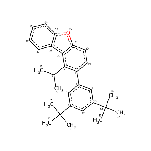 CC(C)c1c(-c2cc(C(C)(C)C)cc(C(C)(C)C)c2)ccc2oc3ccccc3c12